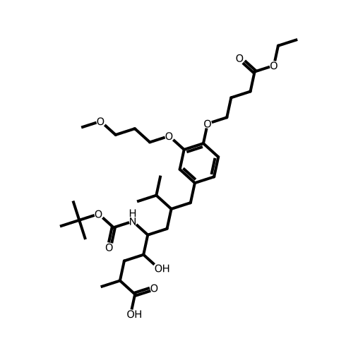 CCOC(=O)CCCOc1ccc(CC(CC(NC(=O)OC(C)(C)C)C(O)CC(C)C(=O)O)C(C)C)cc1OCCCOC